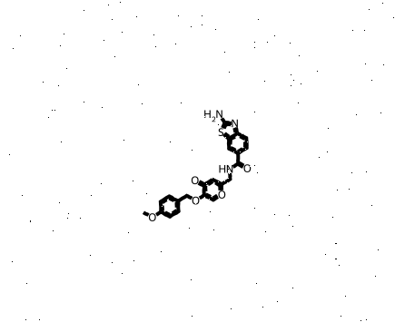 COc1ccc(COc2coc(CNC(=O)c3ccc4nc(N)sc4c3)cc2=O)cc1